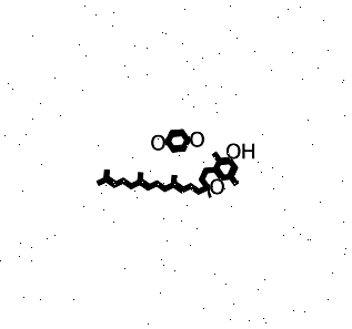 CC(C)=CCC/C(C)=C/CC/C(C)=C/CC[C@]1(C)CCc2c(C)c(O)cc(C)c2O1.O=C1C=CC(=O)C=C1